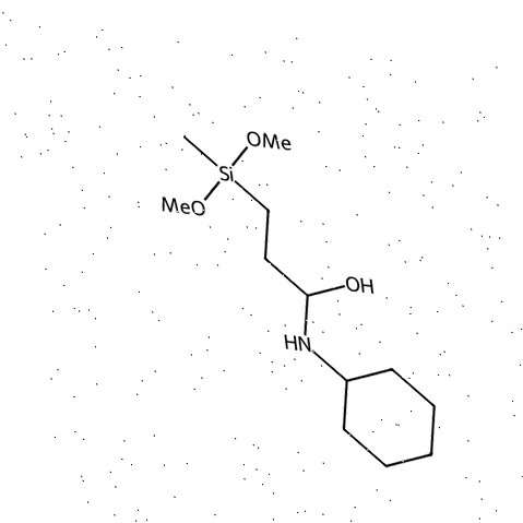 CO[Si](C)(CCC(O)NC1CCCCC1)OC